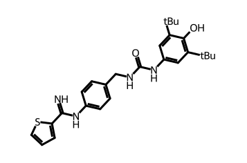 CC(C)(C)c1cc(NC(=O)NCc2ccc(NC(=N)c3cccs3)cc2)cc(C(C)(C)C)c1O